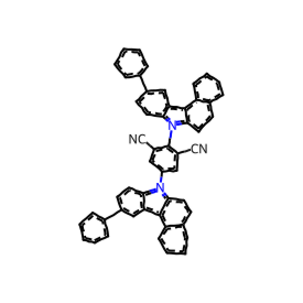 N#Cc1cc(-n2c3ccc(-c4ccccc4)cc3c3c4ccccc4ccc32)cc(C#N)c1-n1c2ccc(-c3ccccc3)cc2c2c3ccccc3ccc21